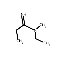 CCC(=N)N(C)CC